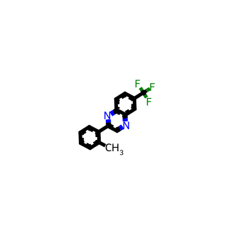 Cc1ccccc1-c1cnc2cc(C(F)(F)F)ccc2n1